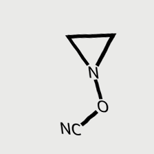 N#CON1CC1